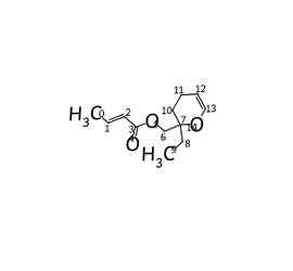 CC=CC(=O)OCC1(CC)CCC=CO1